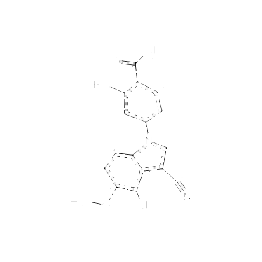 COc1ccc2c(c(C#N)cn2-c2ccc(C(=O)O)c(O)c2)c1C